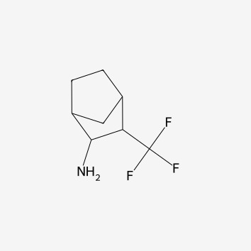 NC1C2CCC(C2)C1C(F)(F)F